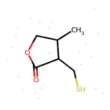 CC1COC(=O)C1CS